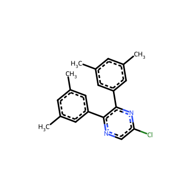 Cc1cc(C)cc(-c2ncc(Cl)nc2-c2cc(C)cc(C)c2)c1